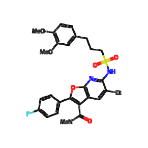 CCc1cc2c(C(=O)NC)c(-c3ccc(F)cc3)oc2nc1NS(=O)(=O)CCCc1ccc(OC)c(OC)c1